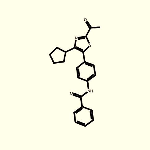 CC(=O)c1nc(C2CCCC2)c(-c2ccc(NC(=O)c3ccccc3)cc2)s1